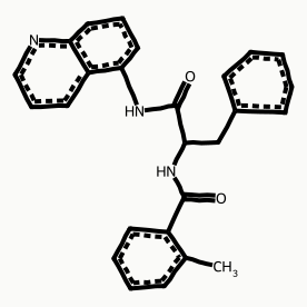 Cc1ccccc1C(=O)NC(Cc1ccccc1)C(=O)Nc1cccc2ncccc12